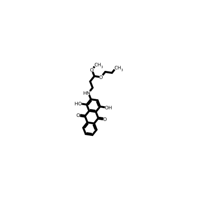 CCCOC(CCNc1cc(O)c2c(c1O)C(=O)c1ccccc1C2=O)OC